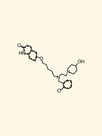 O=c1ccc2cc(OCCCCCN(CCN3CCC(O)CC3)Cc3ccccc3Cl)ccc2[nH]1